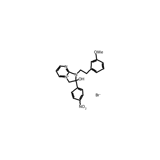 COc1cccc(CCN2c3nccc[n+]3CC2(O)c2ccc([N+](=O)[O-])cc2)c1.[Br-]